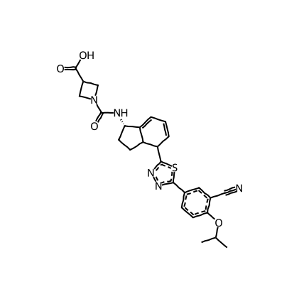 CC(C)Oc1ccc(-c2nnc(C3C=CC=C4C3CC[C@@H]4NC(=O)N3CC(C(=O)O)C3)s2)cc1C#N